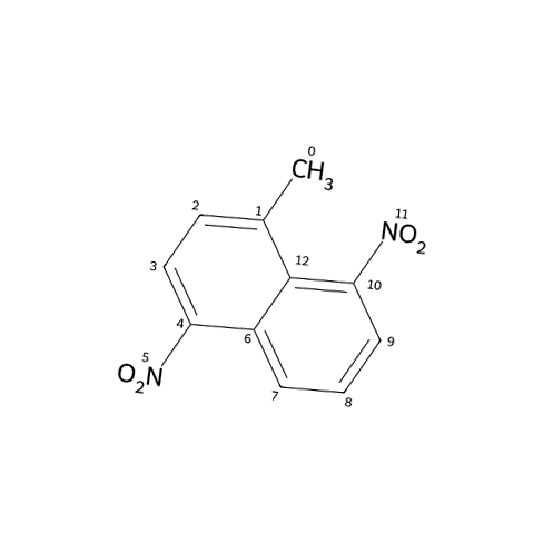 Cc1ccc([N+](=O)[O-])c2cccc([N+](=O)[O-])c12